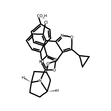 O=C(O)c1ccc(-c2noc(N3[C@@H]4CC[C@H]3C[C@@H](OCc3c(-c5c(Cl)cccc5Cl)noc3C3CC3)C4)n2)cc1